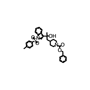 Cc1ccc(S(=O)(=O)n2cc(C(C)(O)CC3CCN(C(=O)OCc4ccccc4)CC3)c3ccccc32)cc1